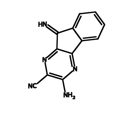 N#Cc1nc2c(nc1N)-c1ccccc1C2=N